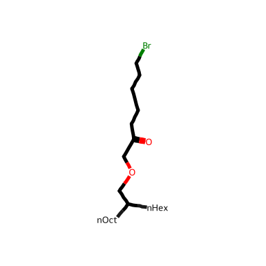 CCCCCCCCC(CCCCCC)COCC(=O)CCCCCBr